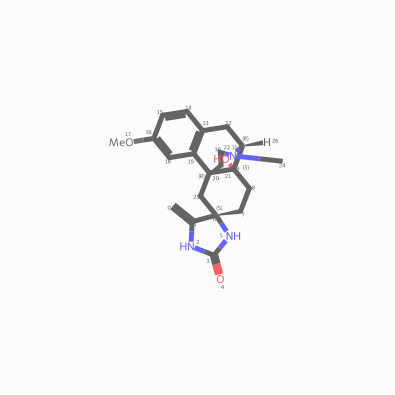 C=C1NC(=O)N[C@]12CC[C@@]1(O)[C@H]3Cc4ccc(OC)cc4[C@@]1(CCN3C)C2